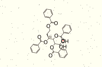 O=C(OCC[C@H](OC(=O)c1ccccc1)C(OC(=O)c1ccccc1)C(OC(=O)c1ccccc1)C(O)O)c1ccccc1